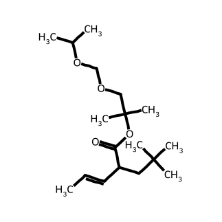 CC=CC(CC(C)(C)C)C(=O)OC(C)(C)COCOC(C)C